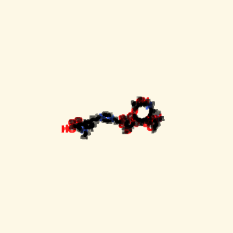 CC[C@H]1OC(=O)[C@H](C)[C@@H](O[C@H]2C[C@@](C)(OC)[C@@H](OC(=O)CCN3CCN(CCCc4ccc5c(c4)c(=O)c(C(=O)O)cn5CC)CC3)[C@H](C)O2)[C@H](C)[C@@H](O[C@@H]2O[C@H](C)C[C@H](N(C)C)[C@H]2O)[C@](C)(O)C[C@@H](C)CN(C)[C@H](C)[C@@H](OC)[C@]1(C)O